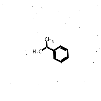 CC(C)c1[c]cc[c]c1